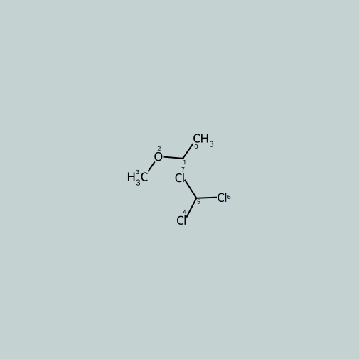 CCOC.ClC(Cl)Cl